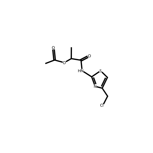 CC(=O)OC(C)C(=O)Nc1nc(CCl)cs1